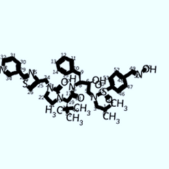 CC(C)CN(C[C@@H](O)[C@H](Cc1ccccc1)NC(=O)[C@@H](N1CCN(Cc2csc(-c3cccnc3)n2)C1=O)C(C)(C)C)S(=O)(=O)c1ccc(/C=N/O)cc1